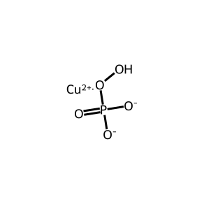 O=P([O-])([O-])OO.[Cu+2]